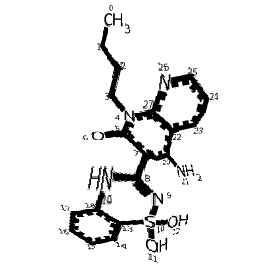 CCCCn1c(=O)c(C2=NS(O)(O)c3ccccc3N2)c(N)c2cccnc21